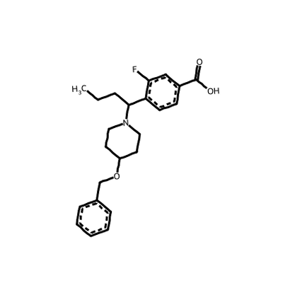 CCCC(c1ccc(C(=O)O)cc1F)N1CCC(OCc2ccccc2)CC1